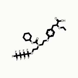 CCOC(Cc1ccc(OCCN(CCOC(F)(F)C(F)(F)C(F)(F)C(F)(F)F)C(=O)OC2CCCCC2)cc1)C(=O)O